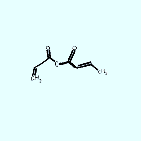 C=CC(=O)OC(=O)C=CC